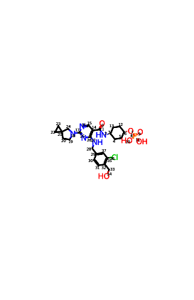 O=C(N[C@H]1CC[C@@H](OP(=O)(O)O)CC1)c1cnc(N2CCC3(CC3)C2)nc1NCc1ccc(CO)c(Cl)c1